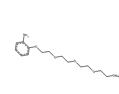 COCCOCCOCCOCCOc1ccccc1N